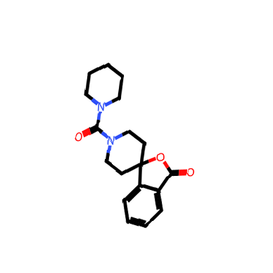 O=C1OC2(CCN(C(=O)N3CCCCC3)CC2)c2ccccc21